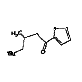 CC(CC(=O)c1cccs1)CC(C)(C)C